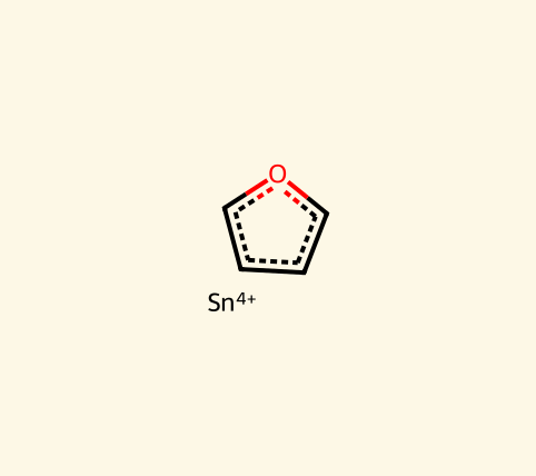 [Sn+4].c1ccoc1